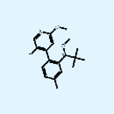 COc1cc(-c2ccc(C)cc2[C@@H](OC)C(C)(C)C)c(F)cn1